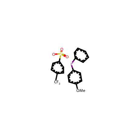 COc1ccc([I+]c2ccccc2)cc1.O=S(=O)([O-])c1ccc(C(F)(F)F)cc1